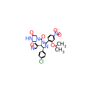 CC(C)Oc1cc([N+](=O)[O-])ccc1C1=N[C@@H](c2ccc(Cl)cc2)[C@@H](c2cnoc2)N1C(=O)N1CCNC(=O)C1